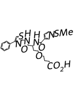 CSn1ccc(C(=O)NC(CCOCCCC(=O)O)C(=O)Nc2nc(-c3ccccc3)cs2)c1